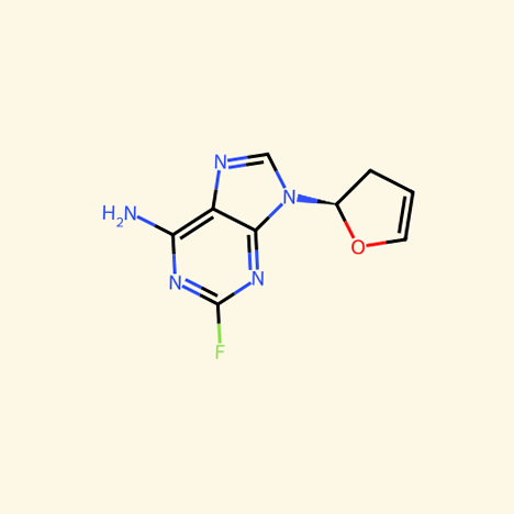 Nc1nc(F)nc2c1ncn2[C@H]1CC=CO1